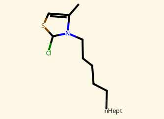 CCCCCCCCCCCCN1C(C)=CSC1Cl